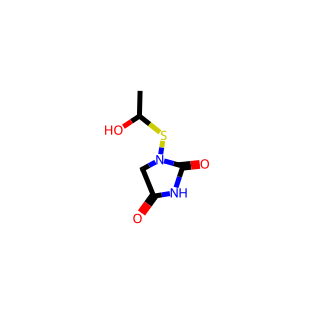 CC(O)SN1CC(=O)NC1=O